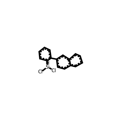 Cl[SiH](Cl)c1ccccc1-c1ccc2ccccc2c1